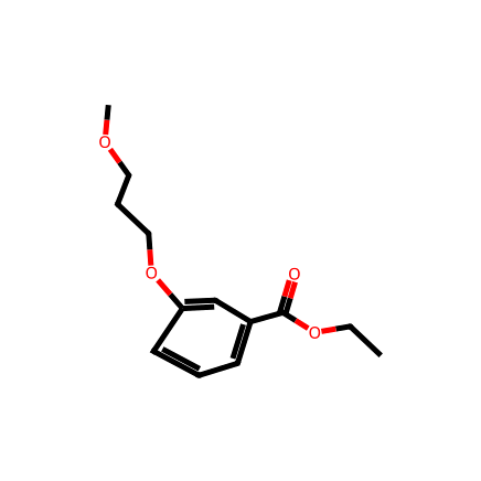 CCOC(=O)c1cccc(OCCCOC)c1